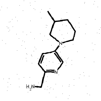 CC1CCCN(c2ccc(CN)nc2)C1